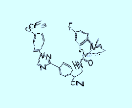 CC(C)c1cc(F)ccc1N1CCS/C1=N\C(=O)NCC(C#N)c1ccc(-c2ncn(-c3ccc(OC(F)(F)F)cc3)n2)cc1